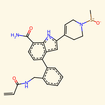 C=CC(=O)NCc1ccccc1-c1ccc(C(N)=O)c2[nH]c(C3=CCN([S+](C)[O-])CC3)cc12